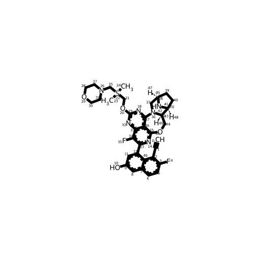 C#Cc1c(F)ccc2cc(O)cc(-c3nc4c5c(nc(OCS(C)(C)CN6CCOCC6)nc5c3F)N3C[C@H]5CC[C@H](N5)[C@H]3CO4)c12